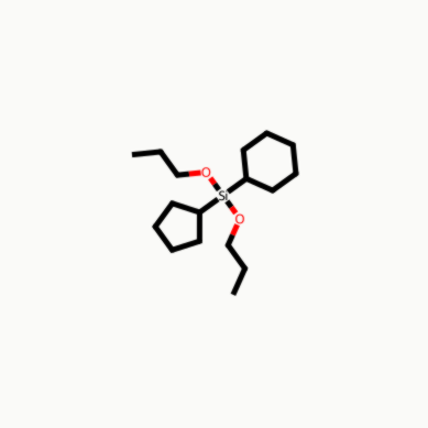 CCCO[Si](OCCC)(C1CCCCC1)C1CCCC1